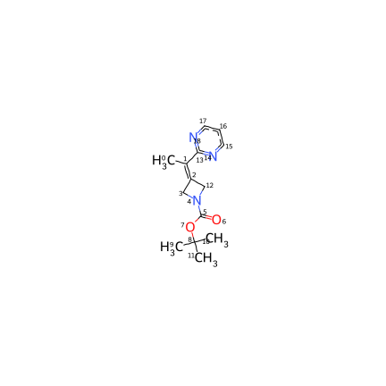 CC(=C1CN(C(=O)OC(C)(C)C)C1)c1ncccn1